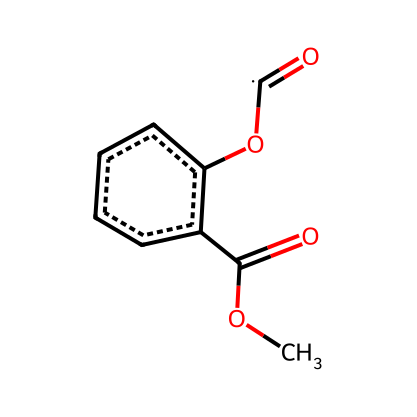 COC(=O)c1ccccc1O[C]=O